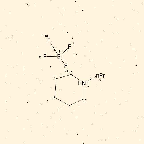 CCC[NH+]1CCCCC1.F[B-](F)(F)F